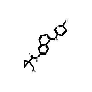 O=C(Nc1ccc2c(Nc3ccc(Cl)nc3)nccc2c1)C1(CO)CC1